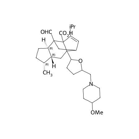 COC1CCN(CC2CCC(C34C[C@@H]5[C@H](C)CC[C@H]5C5(C=O)CC3C=C(C(C)C)C45C(=O)O)O2)CC1